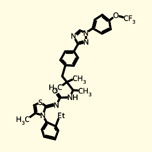 CCc1ccccc1-n1c(C)cs/c1=N\C(=O)NC(C)C(C)(C)Cc1ccc(-c2ncn(-c3ccc(OC(F)(F)F)cc3)n2)cc1